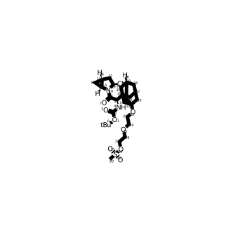 CC(C)(C)OC(=O)N[C@H](C(=O)N1[C@H](C#N)C[C@@H]2C[C@@H]21)C12CC3C[C@H](CC(OCCOCCOS(C)(=O)=O)(C3)C1)C2